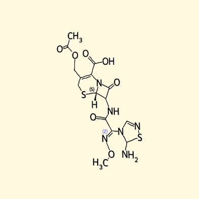 CO/N=C(/C(=O)NC1C(=O)N2C(C(=O)O)=C(COC(C)=O)CS[C@@H]12)N1C=NSC1N